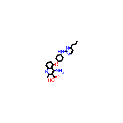 CCCc1ccnc(N[C@H]2CC[C@H](Oc3cccc4nc(C)c(C(=O)O)c(N)c34)CC2)n1